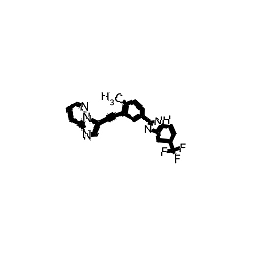 Cc1ccc(-c2nc3cc(C(F)(F)F)ccc3[nH]2)cc1C#Cc1cnc2cccnn12